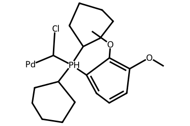 COc1cccc([PH]([CH](Cl)[Pd])(C2CCCCC2)C2CCCCC2)c1OC